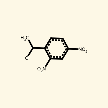 CC([O])c1ccc([N+](=O)[O-])cc1[N+](=O)[O-]